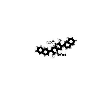 CCCCCCCCn1c(=O)c(-c2ccc3ccccc3c2)cc2c1cc(-c1ccc3ccccc3c1)c(=O)n2CCCCCCCC